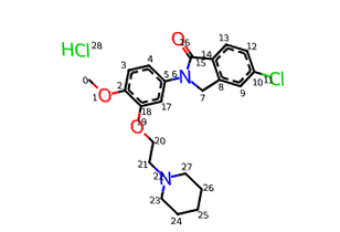 COc1ccc(N2Cc3cc(Cl)ccc3C2=O)cc1OCCN1CCCCC1.Cl